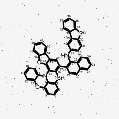 B1c2cccc3c2N(c2ccccc2O3)c2c1c(-c1ccc3ccccc3c1Nc1ccc3sc4ccccc4c3c1)cc1c2oc2ccccc21